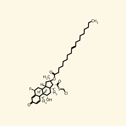 CCCCCCCC/C=C/CCCCCCCC(=O)O[C@]1(C)C[C@H]2[C@@H]3C[C@H](F)C4=CC(=O)C=C[C@]4(C)[C@@]3(F)[C@@H](O)C[C@]2(C)[C@H]1C(=O)SCCl